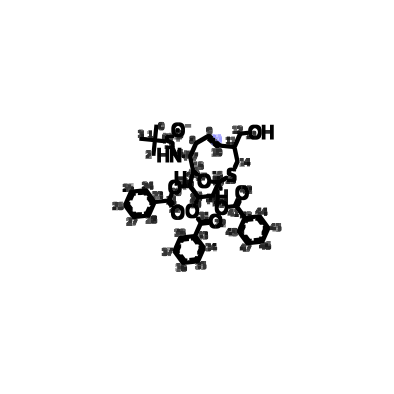 CC(C)(C)[S@@+]([O-])N[C@@H]1C/C=C/C(CO)CS[C@H]2O[C@H]1[C@H](OC(=O)c1ccccc1)[C@H](OC(=O)c1ccccc1)[C@H]2OC(=O)c1ccccc1